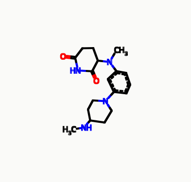 CNC1CCN(c2cccc(N(C)C3CCC(=O)NC3=O)c2)CC1